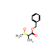 CC(C(=O)OCc1ccccc1)[S+](C)[O-]